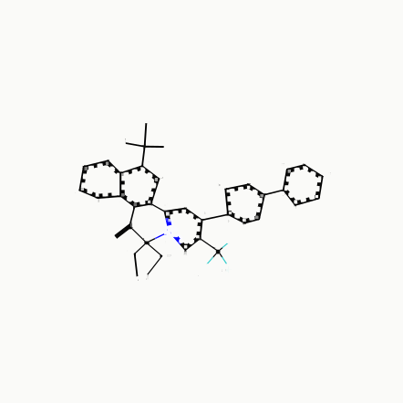 C=C1c2c(cc(C(C)(C)C)c3ccccc23)-c2cc(-c3ccc(-c4ccccc4)cc3)c(C(F)(F)F)c[n+]2C1(CC)CC